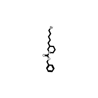 O=C(OCc1ccccc1)N1CCCC(CCCCCBr)C1